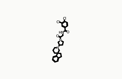 O=C(NCC(=O)N1CCC(N2CCCC3(CCc4ccccc43)C2)C1)c1ccc(Cl)c(Cl)c1